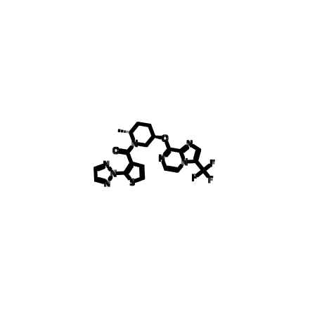 C[C@@H]1CC[C@@H](Oc2nccn3c(C(F)(F)F)cnc23)CN1C(=O)c1ccsc1-n1nccn1